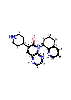 O=c1c(C2CCNCC2)cc2nccnc2n1C1CCCc2cccnc21